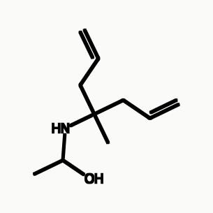 C=CCC(C)(CC=C)NC(C)O